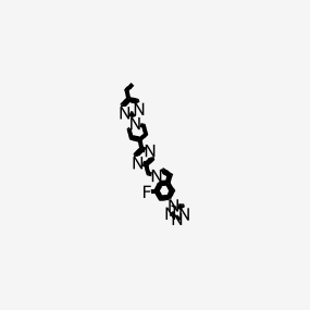 CCc1cnc(N2CC=C(c3cnc(Cn4ccc5cc(-n6cnnn6)cc(F)c54)cn3)CC2)nc1